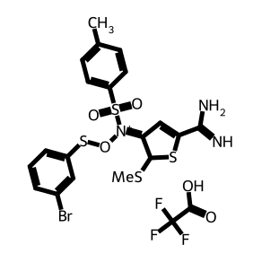 CSC1SC(C(=N)N)=CC1=[N+](OSc1cccc(Br)c1)S(=O)(=O)c1ccc(C)cc1.O=C(O)C(F)(F)F